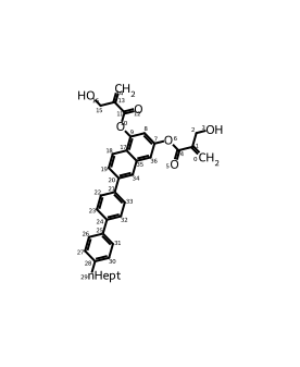 C=C(CO)C(=O)Oc1cc(OC(=O)C(=C)CO)c2ccc(-c3ccc(-c4ccc(CCCCCCC)cc4)cc3)cc2c1